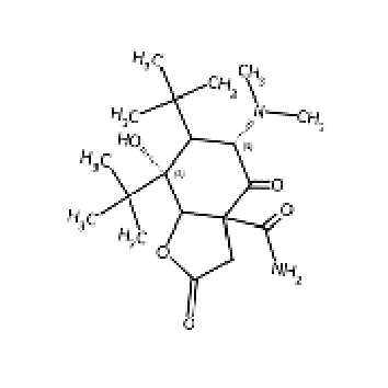 CN(C)[C@@H]1C(=O)C2(C(N)=O)CC(=O)OC2[C@@](O)(C(C)(C)C)C1C(C)(C)C